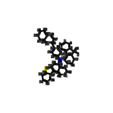 CC1(C)c2ccccc2C2=C(N(c3ccc(-c4ccc5ccccc5c4)cc3)c3cc4sc5ccccc5c4c4ccccc34)C=CCC21